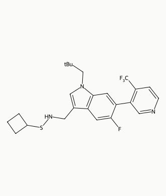 CC(C)(C)Cn1cc(CNSC2CCC2)c2cc(F)c(-c3cnccc3C(F)(F)F)cc21